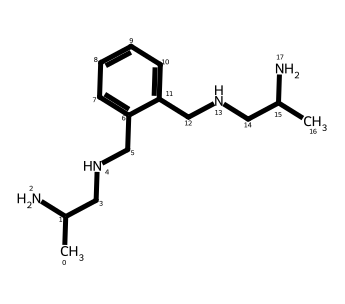 CC(N)CNCc1ccccc1CNCC(C)N